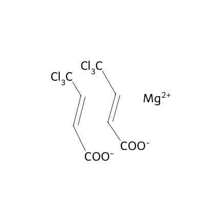 O=C([O-])C=CC(Cl)(Cl)Cl.O=C([O-])C=CC(Cl)(Cl)Cl.[Mg+2]